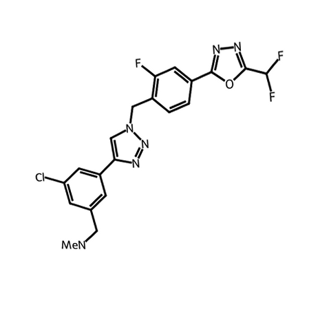 CNCc1cc(Cl)cc(-c2cn(Cc3ccc(-c4nnc(C(F)F)o4)cc3F)nn2)c1